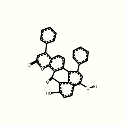 CCOc1cc(-c2ccccc2)c2c3c(c(O)ccc13)C(=O)c1c-2ccc2c(-c3ccccc3)cc(=O)oc12